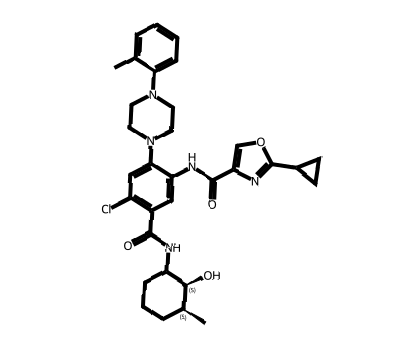 Cc1ccccc1N1CCN(c2cc(Cl)c(C(=O)NC3CCC[C@H](C)[C@@H]3O)cc2NC(=O)c2coc(C3CC3)n2)CC1